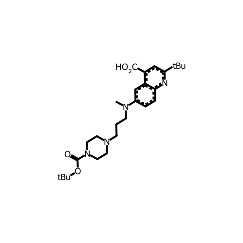 CN(CCCN1CCN(C(=O)OC(C)(C)C)CC1)c1ccc2nc(C(C)(C)C)cc(C(=O)O)c2c1